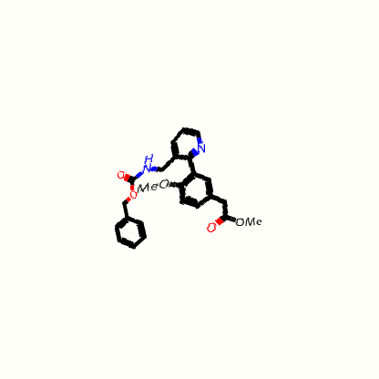 COC(=O)Cc1ccc(OC)c(-c2ncccc2CNC(=O)OCc2ccccc2)c1